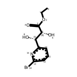 CCOC(=O)[C@H](O)[C@@H](O)c1cccc(Br)n1